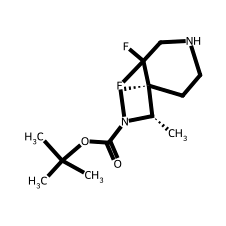 C[C@@H]1N(C(=O)OC(C)(C)C)C[C@]12CCNCC2(F)F